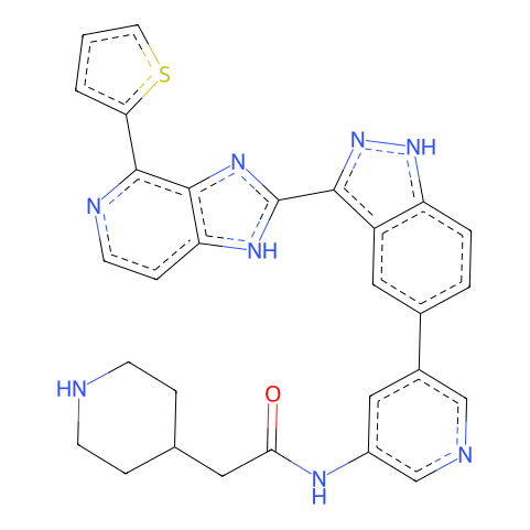 O=C(CC1CCNCC1)Nc1cncc(-c2ccc3[nH]nc(-c4nc5c(-c6cccs6)nccc5[nH]4)c3c2)c1